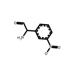 NC([C]=O)c1cccc([N+](=O)[O-])c1